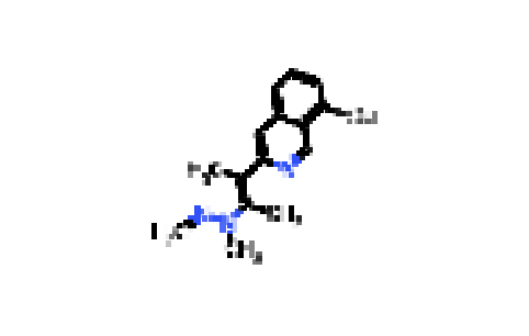 C=NN(C)/C(C)=C(\C)c1cc2cccc(C(C)(C)C)c2cn1